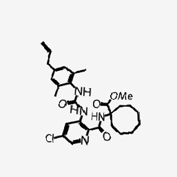 C=CCc1cc(C)c(NC(=O)Nc2cc(Cl)cnc2C(=O)NC2(C(=O)OC)CCCCCCC2)c(C)c1